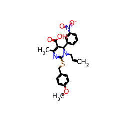 C=CCN1C(SCc2ccc(OC)cc2)=NC(C)=C(C(=O)O)C1c1cccc([N+](=O)[O-])c1